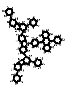 c1ccc(-c2ccc3sc4c(-c5ccc6c7ccc(-c8cc(-c9ccccc9)cc9c8sc8ccc(-c%10ccccc%10)cc89)cc7n(-c7ccc(-c8c9ccccc9c(-c9ccccc9)c9ccccc89)cc7)c6c5)cc(-c5ccccc5)cc4c3c2)cc1